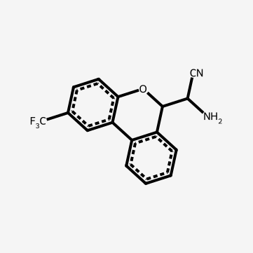 N#CC(N)C1Oc2ccc(C(F)(F)F)cc2-c2ccccc21